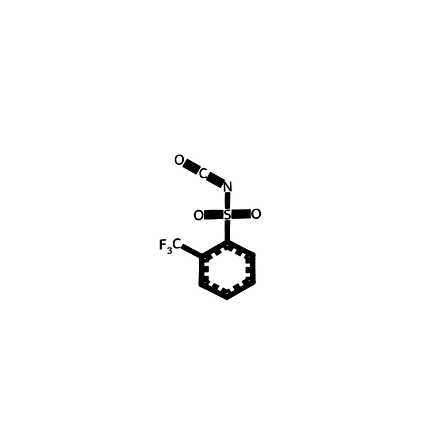 O=C=NS(=O)(=O)c1ccccc1C(F)(F)F